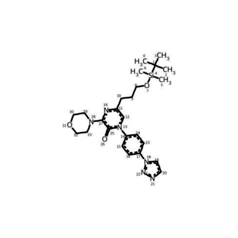 CC(C)(C)[Si](C)(C)OCCCc1cn(-c2ccc(-n3ccnn3)cc2)c(=O)c(N2CCOCC2)n1